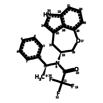 C[C@H](c1ccccc1)N(C(=O)C(F)(F)F)[C@H]1COc2cccc3[nH]cc(c23)C1